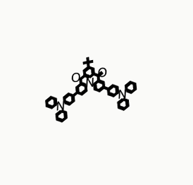 CC(C)(C)c1cc2c(=O)c3cc(-c4ccc(N(c5ccccc5)c5ccccc5)cc4)ccc3n3c4ccc(-c5ccc(N(c6ccccc6)c6ccccc6)cc5)cc4c(=O)c(c1)c23